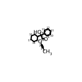 CC#COC(=O)C(O)(c1ccccc1)C1CCCCC1